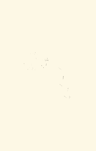 CC/C=C\C/C=C\C/C=C\C/C=C\C/C=C\CCCC(=O)N[C@H]1C(OC(C)=O)[C@H](OC(C)=O)C(COC(C)=O)O[C@H]1OC(C)=O